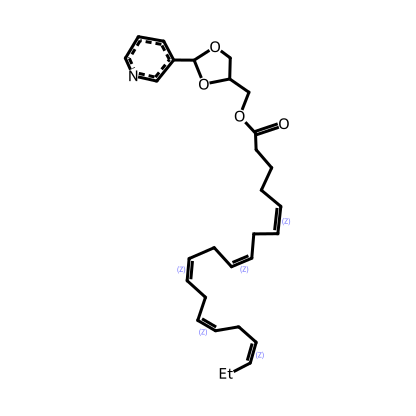 CC/C=C\C/C=C\C/C=C\C/C=C\C/C=C\CCCC(=O)OCC1COC(c2cccnc2)O1